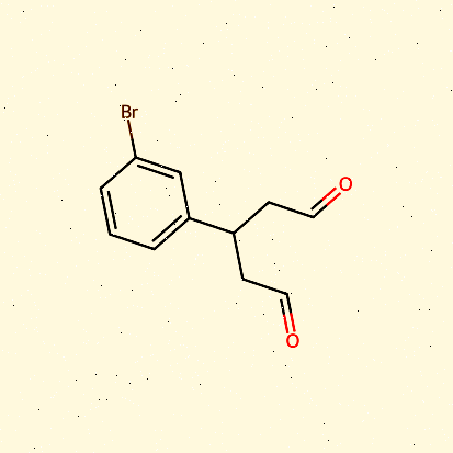 O=CCC(CC=O)c1cccc(Br)c1